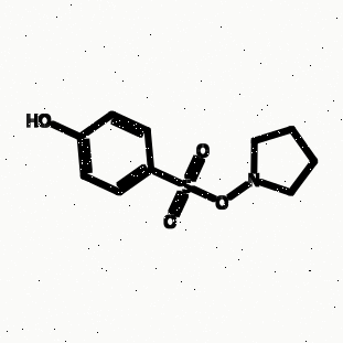 O=S(=O)(ON1CCCC1)c1ccc(O)cc1